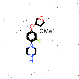 CO[C@H]1COC[C@@H]1Oc1ccc(N2CCNCC2)c(F)c1